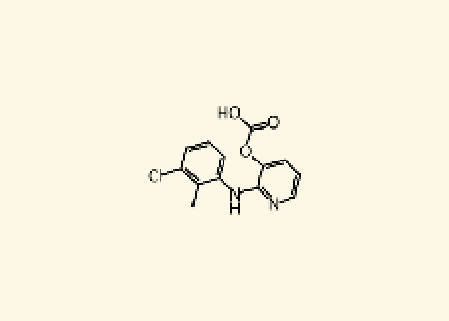 Cc1c(Cl)cccc1Nc1ncccc1OC(=O)O